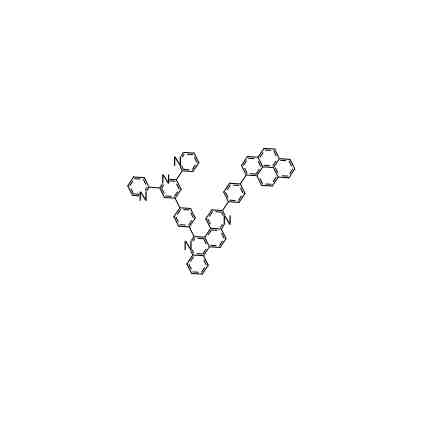 c1ccc(-c2cc(-c3ccc(-c4nc5ccccc5c5ccc6nc(-c7ccc(-c8ccc9ccc%10cccc%11ccc8c9c%10%11)cc7)ccc6c45)cc3)cc(-c3ccccn3)n2)nc1